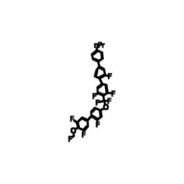 CCCc1ccc(-c2ccc(-c3cc(F)c(C(F)(F)Oc4ccc(-c5cc(F)c(OCF)c(F)c5)c(F)c4)c(F)c3)c(F)c2)cc1